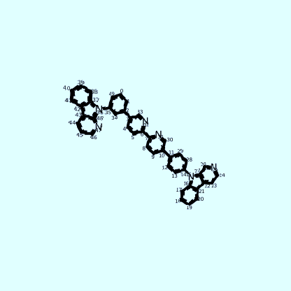 c1cc(-c2ccc(-c3ccc(-c4ccc(-n5c6ccccc6c6ccncc65)cc4)cn3)nc2)cc(-n2c3ccccc3c3cccnc32)c1